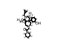 Cc1ccc(O)cc1C12CCN(CC(=O)N3CCCCC3)CCC1(O)C(C)N(CC1CC1)CC2